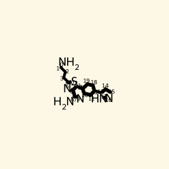 NCCCc1nc2c(N)nc3cc(-c4ccn[nH]4)ccc3c2s1